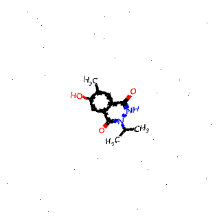 Cc1cc2c(=O)[nH]n(C(C)C)c(=O)c2cc1O